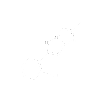 Cc1nn2nc(-c3ccccc3O)cc2[nH]1